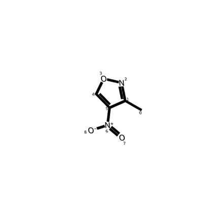 Cc1nocc1[N+](=O)[O-]